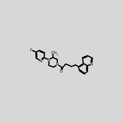 CC1CN(C(=O)CCCc2cccc3ncccc23)CCN1c1ccc(F)cn1